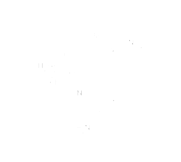 ClOCl.NC(=O)c1ccc(N)nc1.[SeH2]